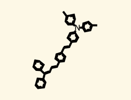 Cc1ccc(N(c2ccc(C)cc2)c2ccc(/C=C/c3ccc(/C=C/C=C(c4ccccc4)c4ccccc4)cc3)cc2)cc1